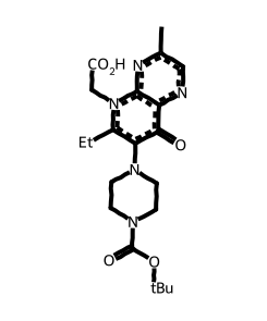 CCc1c(N2CCN(C(=O)OC(C)(C)C)CC2)c(=O)c2ncc(C)nc2n1CC(=O)O